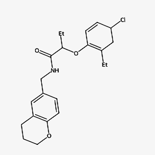 CCC1=C(OC(CC)C(=O)NCc2ccc3c(c2)CCCO3)C=CC(Cl)C1